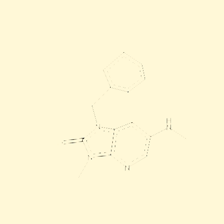 CNc1cnc2c(c1)n(Cc1ccccc1)c(=O)n2C